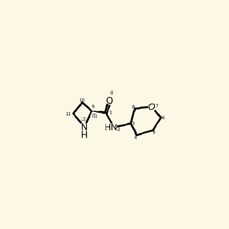 O=C(NC1CCCOC1)[C@@H]1CCN1